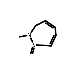 C=S1C=CC=CCN1C